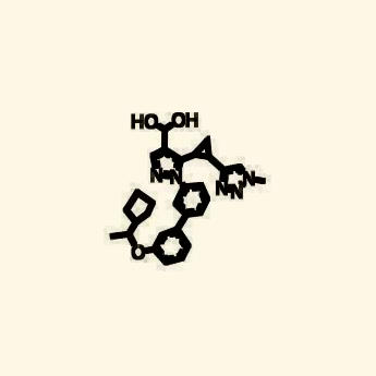 CC(Oc1cccc(-c2cccc(-n3ncc(C(O)O)c3C3CC3c3cn(C)nn3)c2)c1)C1CCCC1